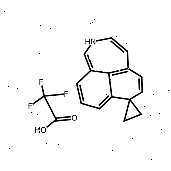 C1=CC2=c3c(cccc3=CN1)C1(C=C2)CC1.O=C(O)C(F)(F)F